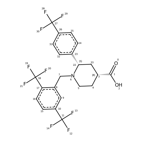 O=C(O)[C@@H]1CCN(Cc2cc(C(F)(F)F)ccc2C(F)(F)F)[C@H](c2ccc(C(F)(F)F)cc2)C1